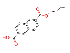 CCCCOC(=O)c1ccc2cc(C(=O)O)ccc2c1